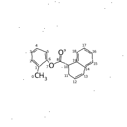 Cc1ccccc1OC(=O)C1CC=Cc2ccccc21